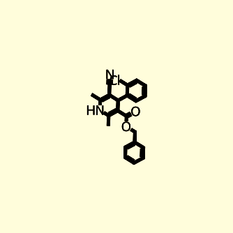 CC1=C(C#N)C(c2ccccc2Cl)C(C(=O)OCc2ccccc2)=C(C)N1